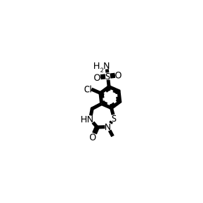 CN1Sc2ccc(S(N)(=O)=O)c(Cl)c2CNC1=O